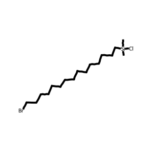 C[Si](C)(Cl)CCCCCCCCCCCCCCCBr